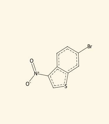 O=[N+]([O-])c1csc2cc(Br)ccc12